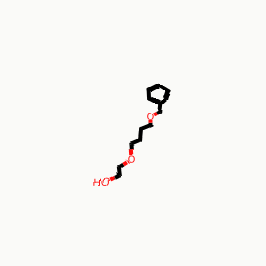 OCCOCCCCOCc1ccccc1